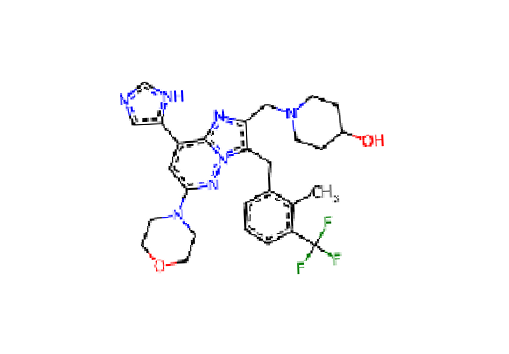 Cc1c(Cc2c(CN3CCC(O)CC3)nc3c(-c4cnc[nH]4)cc(N4CCOCC4)nn23)cccc1C(F)(F)F